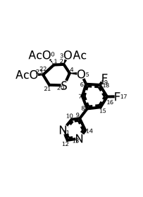 CC(=O)O[C@@H]1[C@@H](OC(C)=O)[C@@H](Oc2cc(-c3cncnc3)cc(F)c2F)SC[C@H]1OC(C)=O